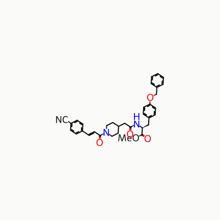 COC(=O)[C@H](Cc1ccc(OCc2ccccc2)cc1)NC(=O)CC1CCN(C(=O)/C=C/c2ccc(C#N)cc2)CC1